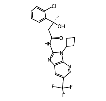 C[C@](O)(CC(=O)Nc1nc2cc(C(F)(F)F)cnc2n1C1CCC1)c1ccccc1Cl